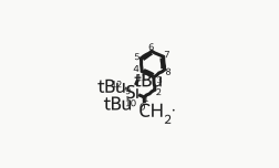 [CH2]C(Cc1ccccc1)[Si](C(C)(C)C)(C(C)(C)C)C(C)(C)C